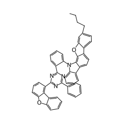 CCCCc1ccc2c(c1)oc1c2ccc2c3ccccc3n(-c3ccccc3-c3nc(-c4ccccc4)nc(-c4cccc5oc6ccccc6c45)n3)c21